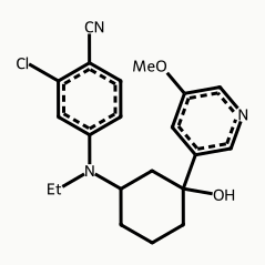 CCN(c1ccc(C#N)c(Cl)c1)C1CCCC(O)(c2cncc(OC)c2)C1